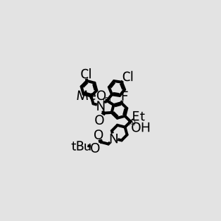 CC[C@@](O)(c1cc(F)c2c(c1)C(=O)N(Cc1ccc(Cl)cc1)[C@@]2(OC)c1ccc(Cl)cc1)C1CCN(CC(=O)OC(C)(C)C)CC1